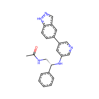 CC(=O)NC[C@H](Nc1cncc(-c2ccc3[nH]ncc3c2)c1)c1ccccc1